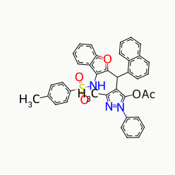 CC(=O)Oc1c(C(c2oc3ccccc3c2NS(=O)(=O)c2ccc(C)cc2)c2cccc3ccccc23)c(C)nn1-c1ccccc1